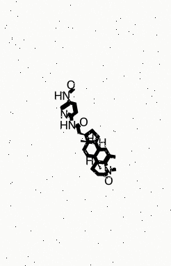 CC1=C2N(C)C(=O)CC[C@]2(C)[C@H]2CC[C@]3(C)[C@@H](CC(=O)Nc4ccc(NC=O)cn4)CC[C@H]3[C@@H]2C1